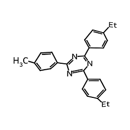 CCc1ccc(-c2nc(-c3ccc(C)cc3)nc(-c3ccc(CC)cc3)n2)cc1